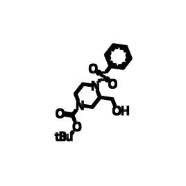 CC(C)(C)OC(=O)N1CCN(S(=O)(=O)c2ccccc2)C(CO)C1